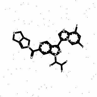 O=C(c1cc2c(cn1)c(-c1cnc3c(F)cc(F)cn13)nn2C(F)C(F)F)N1C=C2COCC2C1